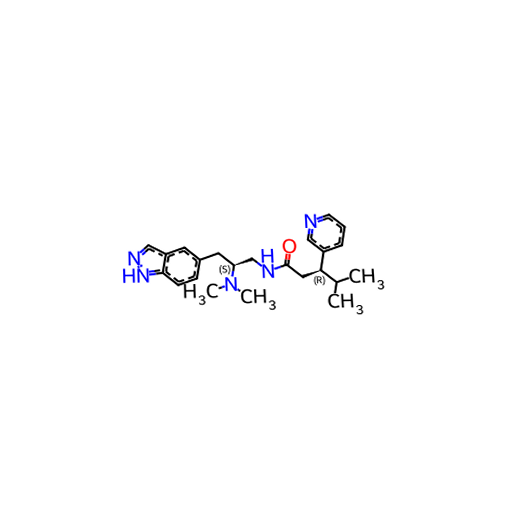 CC(C)[C@@H](CC(=O)NC[C@H](Cc1ccc2[nH]ncc2c1)N(C)C)c1cccnc1